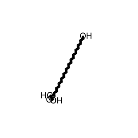 O=P(O)(O)CCCCCCCCCCCCCCCCCCCCCCCCCO